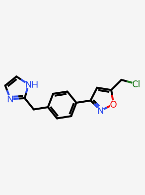 ClCc1cc(-c2ccc(Cc3ncc[nH]3)cc2)no1